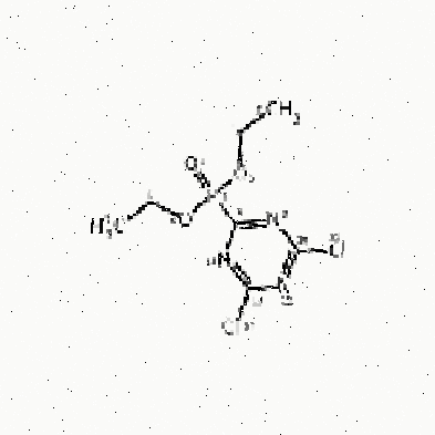 CCOP(=O)(OCC)c1nc(Cl)nc(Cl)n1